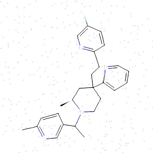 Cc1ccc(C(C)N2[C@@H](C)CC(CCc3ccc(F)cn3)(c3ccccn3)C[C@@H]2C)cn1